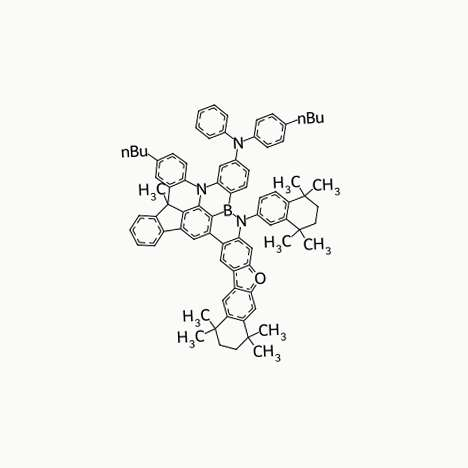 CCCCc1ccc(N(c2ccccc2)c2ccc3c(c2)N2c4ccc(CCCC)cc4C4(C)c5ccccc5-c5cc6c(c2c54)B3N(c2ccc3c(c2)C(C)(C)CCC3(C)C)c2cc3oc4cc5c(cc4c3cc2-6)C(C)(C)CCC5(C)C)cc1